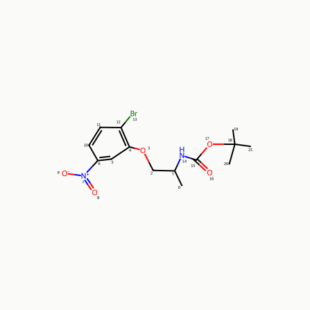 CC(COc1cc([N+](=O)[O-])ccc1Br)NC(=O)OC(C)(C)C